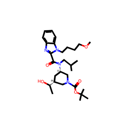 COCCCCn1c(C(=O)N(CC(C)C)[C@H]2C[C@@H](C(C)O)CN(C(=O)OC(C)(C)C)C2)nc2ccccc21